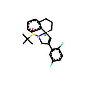 CC(C)(C)[S+]([O-])N1CC(c2cc(F)ccc2F)=C[C@]12CCCc1ccccc12